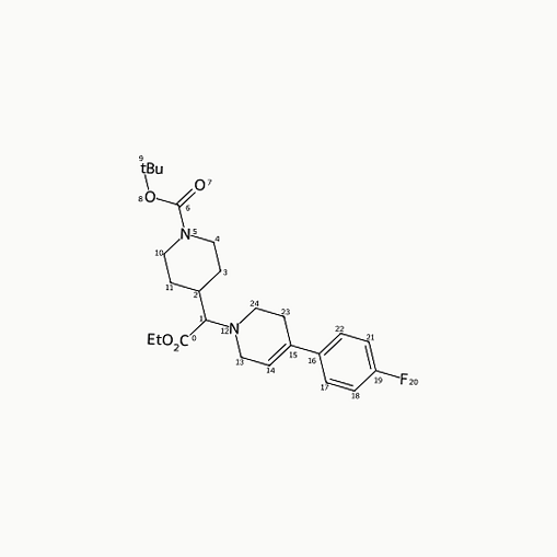 CCOC(=O)C(C1CCN(C(=O)OC(C)(C)C)CC1)N1CC=C(c2ccc(F)cc2)CC1